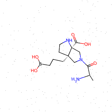 CC(N)C(=O)N1C[C@@]2(CCCB(O)O)CCN[C@@]2(C(=O)O)C1